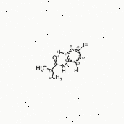 C=C(C)C(=O)Nc1c(I)cc(I)cc1I